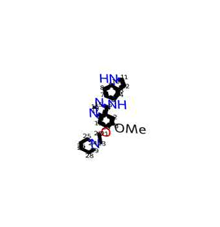 COc1cc2c(Nc3ccc4[nH]ccc4c3)ncnc2cc1OCCN1CCCCC1